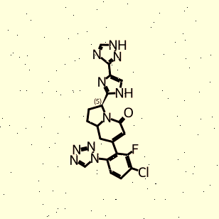 O=C1C=C(c2c(-n3cnnn3)ccc(Cl)c2F)CC2CC[C@@H](c3nc(-c4nc[nH]n4)c[nH]3)N12